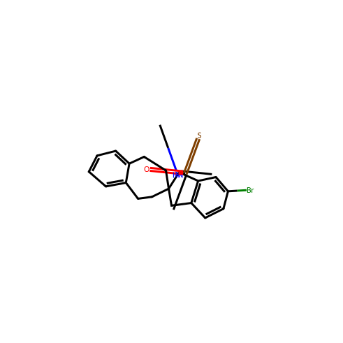 CN1C(=O)C2(NC1=S)c1cc(Br)ccc1CC21CCc2ccccc2CC1